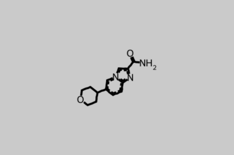 NC(=O)c1cn2cc(C3CCOCC3)ccc2n1